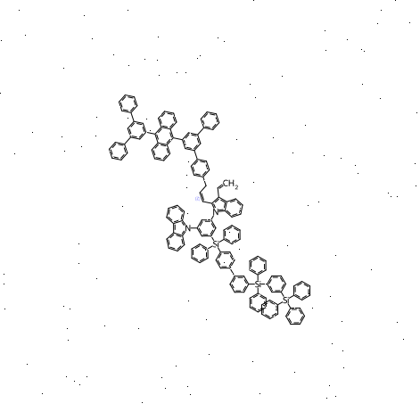 C=Cc1c(/C=C\Cc2ccc(-c3cc(-c4ccccc4)cc(-c4c5ccccc5c(-c5cc(-c6ccccc6)cc(-c6ccccc6)c5)c5ccccc45)c3)cc2)n(-c2cc(-n3c4ccccc4c4ccccc43)cc([Si](c3ccccc3)(c3ccccc3)c3ccc(-c4cccc([Si](c5ccccc5)(c5ccccc5)c5cccc([Si](c6ccccc6)(c6ccccc6)c6ccccc6)c5)c4)cc3)c2)c2ccccc12